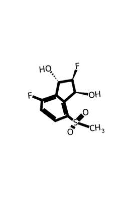 CS(=O)(=O)c1ccc(F)c2c1[C@H](O)[C@H](F)[C@H]2O